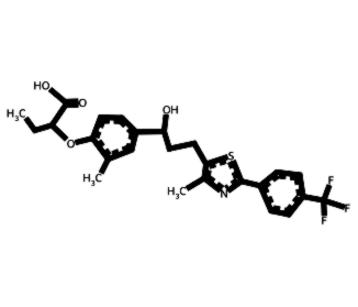 CCC(Oc1ccc(C(O)CCc2sc(-c3ccc(C(F)(F)F)cc3)nc2C)cc1C)C(=O)O